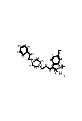 Cc1[nH]c2cc(F)ccc2c1CCCN1CCN(CCc2ccccc2)CC1